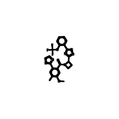 COc1cc(C(=O)N2CCC2c2nc(-c3ccccc3OC(F)(F)F)no2)c(-n2nccn2)cc1C